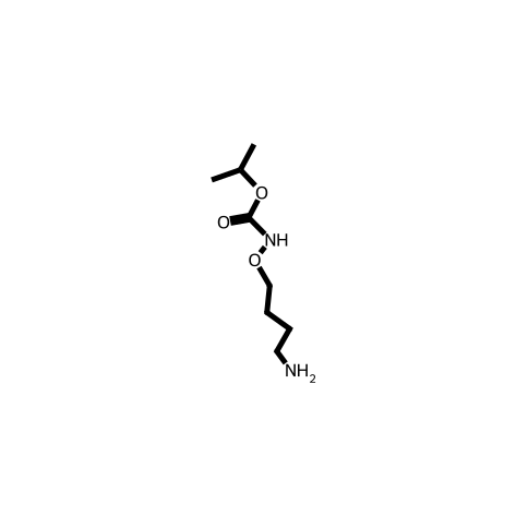 CC(C)OC(=O)NOCCCCN